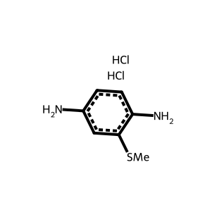 CSc1cc(N)ccc1N.Cl.Cl